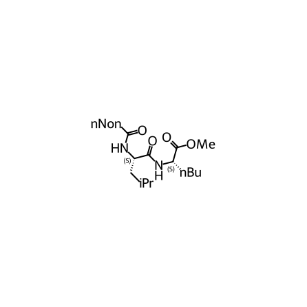 CCCCCCCCCC(=O)N[C@@H](CC(C)C)C(=O)N[C@@H](CCCC)C(=O)OC